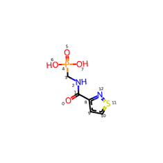 O=C(NCP(=O)(O)O)c1ccsn1